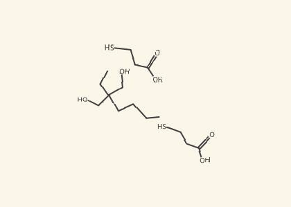 CCCCC(CC)(CO)CO.O=C(O)CCS.O=C(O)CCS